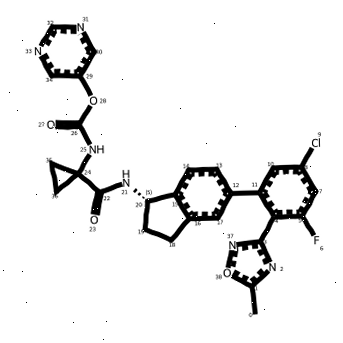 Cc1nc(-c2c(F)cc(Cl)cc2-c2ccc3c(c2)CC[C@@H]3NC(=O)C2(NC(=O)Oc3cncnc3)CC2)no1